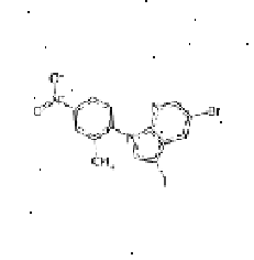 Cc1cc([N+](=O)[O-])ccc1-n1cc(I)c2cc(Br)cnc21